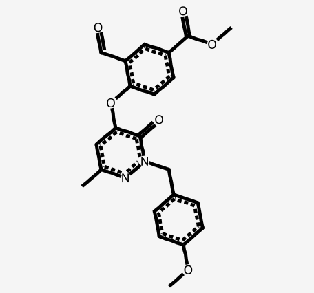 COC(=O)c1ccc(Oc2cc(C)nn(Cc3ccc(OC)cc3)c2=O)c(C=O)c1